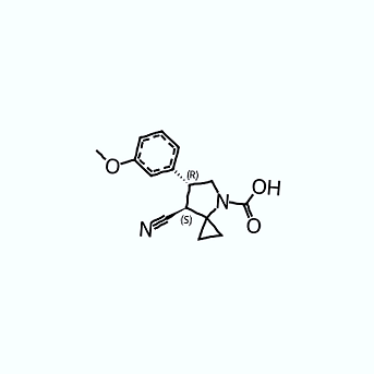 COc1cccc([C@@H]2CN(C(=O)O)C3(CC3)[C@H]2C#N)c1